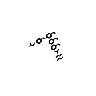 C=C(C)C.C=CC(=C)C.C=CC=C.C=CC=C.C=Cc1ccccc1.C=Cc1ccccc1.C=Cc1ccccc1.C=Cc1ccccc1